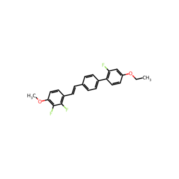 CCOc1ccc(-c2ccc(/C=C/c3ccc(OC)c(F)c3F)cc2)c(F)c1